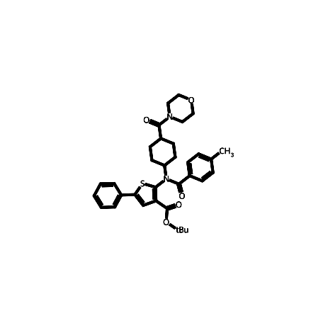 Cc1ccc(C(=O)N(c2sc(-c3ccccc3)cc2C(=O)OC(C)(C)C)C2CCC(C(=O)N3CCOCC3)CC2)cc1